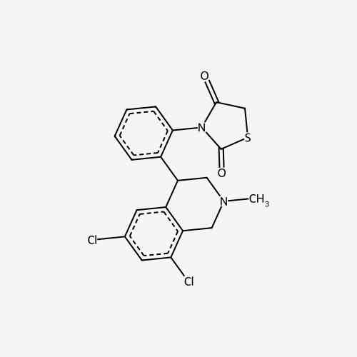 CN1Cc2c(Cl)cc(Cl)cc2C(c2ccccc2N2C(=O)CSC2=O)C1